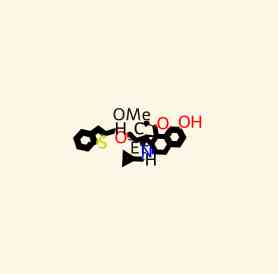 CC[C@@]1(CCCOCc2cc3ccccc3s2)[C@H]2Cc3ccc(O)c4c3[C@@]1(CCN2CC1CC1)[C@H](C(C)OC)O4